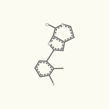 Cc1c(F)cccc1-c1cc2ccnc(Cl)c2s1